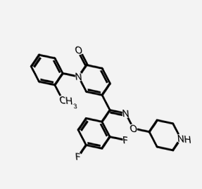 Cc1ccccc1-n1cc(C(=NOC2CCNCC2)c2ccc(F)cc2F)ccc1=O